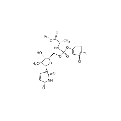 CC(C)OC(=O)[C@H](C)NP(=O)(OC[C@H]1O[C@@H](n2ccc(=O)[nH]c2=O)[C@@H](C)[C@@H]1O)Oc1ccc(Cl)c(Cl)c1